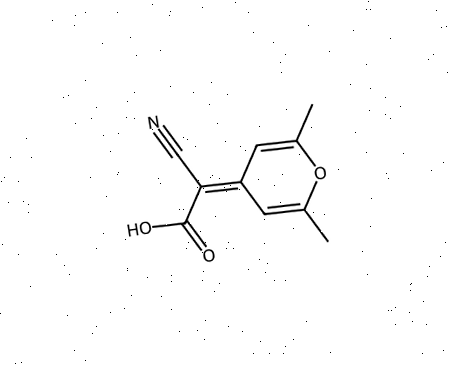 CC1=CC(=C(C#N)C(=O)O)C=C(C)O1